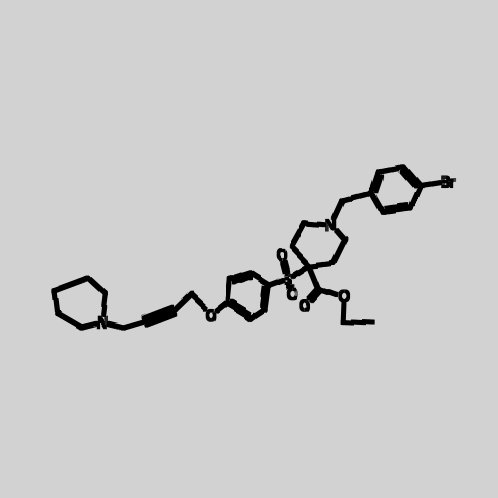 CCOC(=O)C1(S(=O)(=O)c2ccc(OCC#CCN3CCCCC3)cc2)CCN(Cc2ccc(Br)cc2)CC1